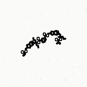 C=CC(=O)OCC1CC2C3CC(C2C1)C(C(CCC)(CCC)OC(=O)c1cccc(C(=O)OCC2CC4C5CC(CC(C)(CCC)OC(=O)C(=C)C)C(C5)C4C2)c1)C3